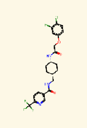 O=C(COc1ccc(Cl)c(F)c1)N[C@H]1CC[C@H](CNC(=O)c2ccc(C(F)(F)F)nc2)CC1